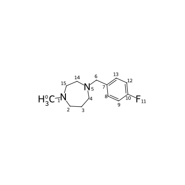 CN1CCCN(Cc2ccc(F)cc2)CC1